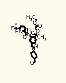 CCOC(=O)COC(C)(C)c1cc2nn(C3CCC(C=O)CC3)cc2cc1NC(=O)c1cccc(C(F)(F)F)n1